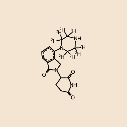 [2H]C1([2H])NC([2H])([2H])C([2H])([2H])N(c2cccc3c2CN(C2CCC(=O)NC2=O)C3=O)C1([2H])[2H]